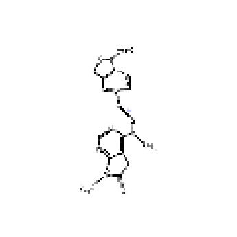 CN(/N=C/c1ccc2c(c1)COB2O)c1ncnc2c1CC(=O)N2C